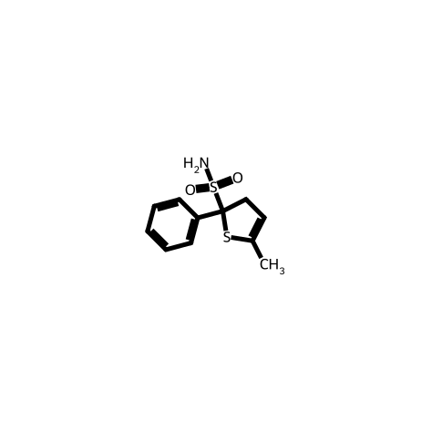 CC1=CCC(c2ccccc2)(S(N)(=O)=O)S1